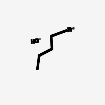 CCC[CH2][Zr+].[OH-]